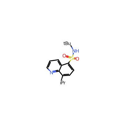 CC(C)c1ccc(S(=O)(=O)NC(C)(C)C)c2cccnc12